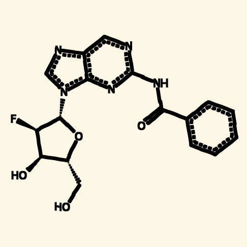 O=C(Nc1ncc2ncn([C@@H]3O[C@H](CO)[C@@H](O)[C@H]3F)c2n1)c1ccccc1